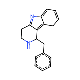 C1=CCC2=C3C(=NC2=C1)CCNC3Cc1ccccc1